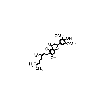 COc1cc(C2CC(=O)c3c(cc(O)c(CC=C(C)CCC=C(C)C)c3O)O2)cc(OC)c1O